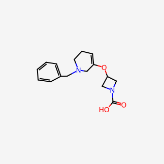 O=C(O)N1CC(OC2=CCCN(Cc3ccccc3)C2)C1